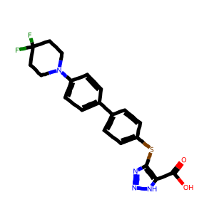 O=C(O)c1[nH]nnc1Sc1ccc(-c2ccc(N3CCC(F)(F)CC3)cc2)cc1